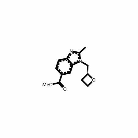 COC(=O)c1ccc2nc(C)n(C[C@@H]3CCO3)c2c1